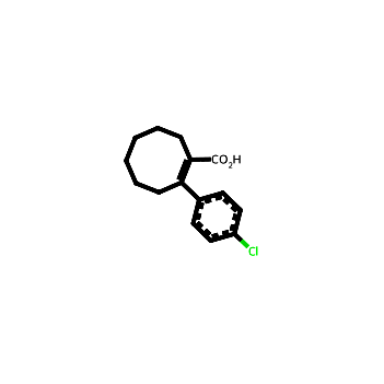 O=C(O)C1=C(c2ccc(Cl)cc2)CCCCCC1